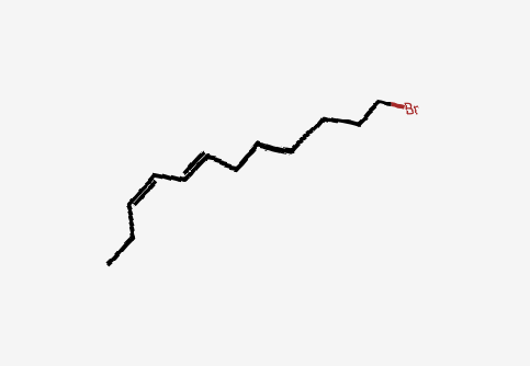 CC/C=C\C=C\CCCCCCBr